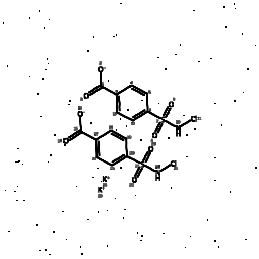 O=C([O-])c1ccc(S(=O)(=O)NCl)cc1.O=C([O-])c1ccc(S(=O)(=O)NCl)cc1.[K+].[K+]